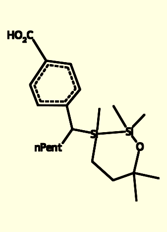 CCCCCC(c1ccc(C(=O)O)cc1)[Si]1(C)CCC(C)(C)O[Si]1(C)C